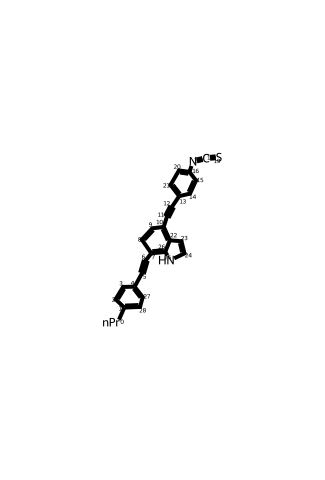 CCCc1ccc(C#Cc2ccc(C#Cc3ccc(N=C=S)cc3)c3cc[nH]c23)cc1